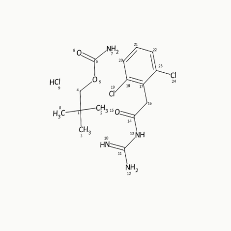 CC(C)(C)COC(N)=O.Cl.N=C(N)NC(=O)Cc1c(Cl)cccc1Cl